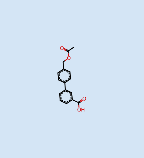 CC(=O)OCc1ccc(-c2cccc(C(=O)O)c2)cc1